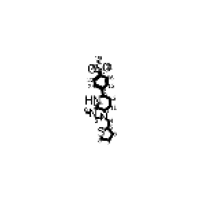 CN1CN(CC2CCCS2)C2CCC(c3ccc(S(C)(=O)=O)cc3)NC21